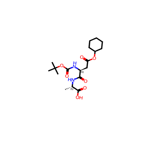 C[C@H](NC(=O)[C@H](CC(=O)OC1CCCCC1)NC(=O)OC(C)(C)C)C(=O)O